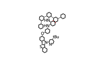 CC(C)(C)c1ccnc(-n2c3cc(Oc4cccc(Nc5ccccc5Nc5c(-c6cccc(-c7ccccc7)c6)cccc5-c5cccc(-c6ccccc6)c5)c4)ccc3c3sc4ccccc4c32)c1